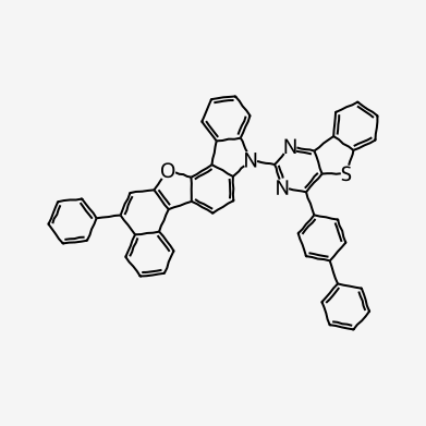 c1ccc(-c2ccc(-c3nc(-n4c5ccccc5c5c6oc7cc(-c8ccccc8)c8ccccc8c7c6ccc54)nc4c3sc3ccccc34)cc2)cc1